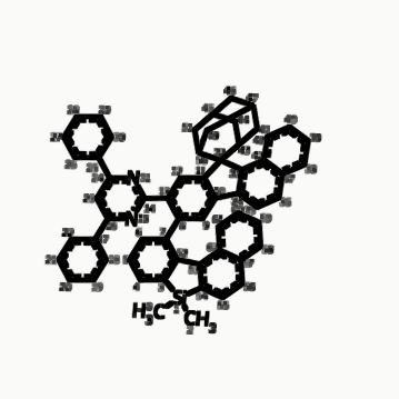 C[Si]1(C)c2cccc(-c3cc4c(cc3-c3nc(-c5ccccc5)cc(-c5ccccc5)n3)C3(c5c-4ccc4ccccc54)C4CC5CC(C4)CC3C5)c2-c2c1ccc1ccccc21